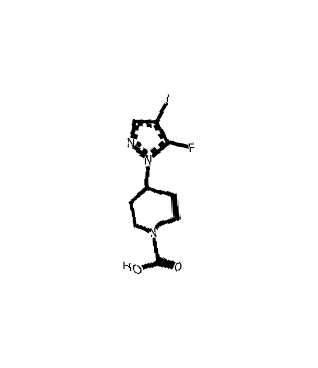 O=C(O)N1CCC(n2ncc(I)c2F)CC1